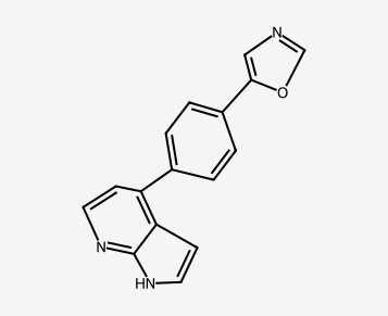 c1cc(-c2ccc(-c3cnco3)cc2)c2cc[nH]c2n1